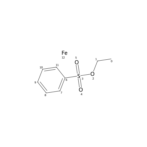 CCOS(=O)(=O)c1ccccc1.[Fe]